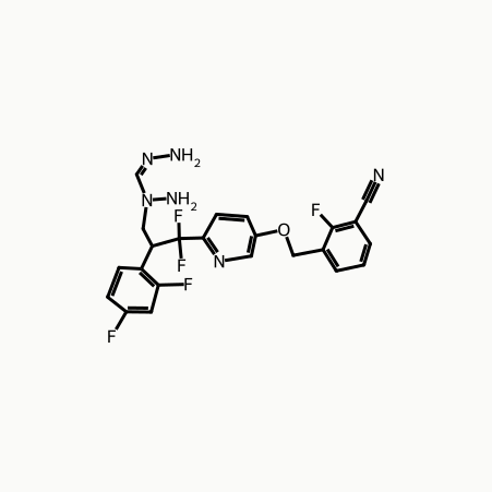 N#Cc1cccc(COc2ccc(C(F)(F)C(CN(N)/C=N\N)c3ccc(F)cc3F)nc2)c1F